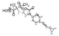 C[C@@](C[C@H]1CN(c2ccc(C#CC3CC3)cn2)C(=O)O1)(C(=O)NO)S(C)(=O)=O